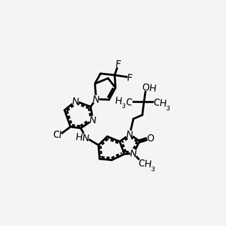 Cn1c(=O)n(CCC(C)(C)O)c2cc(Nc3nc(N4C=C5CC4CC5(F)F)ncc3Cl)ccc21